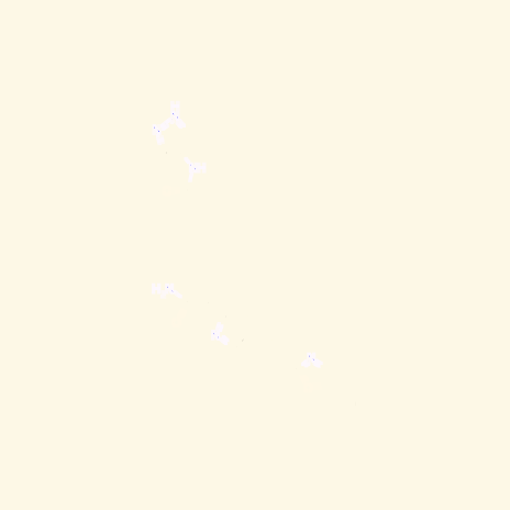 CC(C)(C)c1cnc(CSc2cnc(C(CCCCCC(=O)Nc3cn[nH]c3)C(N)=O)s2)o1